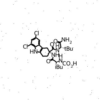 CC[C@H](C)[C@H](NC(=O)O)C(=O)N[C@]1(C(=O)N[C@H](C(N)=O)C(C)(C)C)CCc2[nH]c3c(Cl)cc(Cl)cc3c2C1